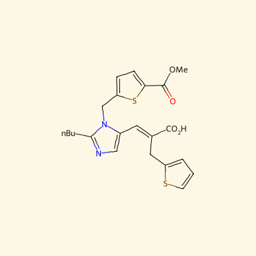 CCCCc1ncc(C=C(Cc2cccs2)C(=O)O)n1Cc1ccc(C(=O)OC)s1